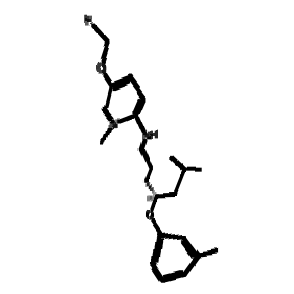 Cc1cccc(O[C@H](CCCNC2=CC=C(OCF)CN2C)CC(C)C)c1